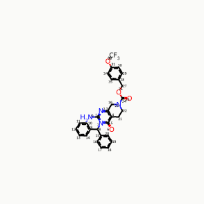 Nc1nc2c(c(=O)n1C(c1ccccc1)c1ccccc1)CCN(C(=O)OCc1ccc(OC(F)(F)F)cc1)C2